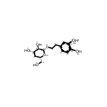 OC[C@@H]1C[C@H](O)[C@@H](O)[C@H](OCCc2ccc(O)c(O)c2)O1